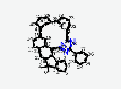 CC1(C)c2ccccc2-c2c1cc1ccc3cc1c2c1nc(-c2ccccc2)nc(n1)c1cccc(c1)c1cccc3c1